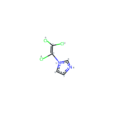 ClC(Cl)=C(Cl)n1ccnc1